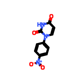 O=c1ccn(-c2ccc([N+](=O)[O-])cc2)c(=O)[nH]1